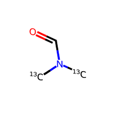 [13CH3]N([13CH3])C=O